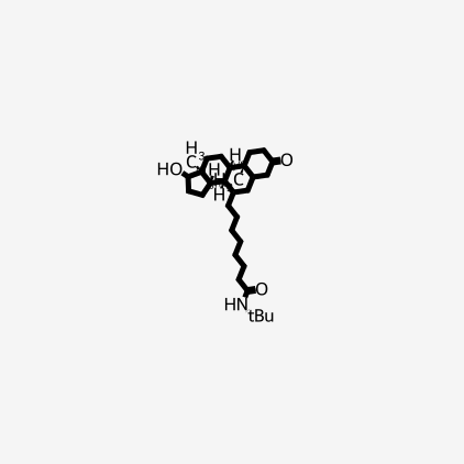 CC(C)(C)NC(=O)CCCCCCCC1CC2CC(=O)CC[C@]2(C)[C@@H]2CC[C@]3(C)C(O)CC[C@H]3[C@H]12